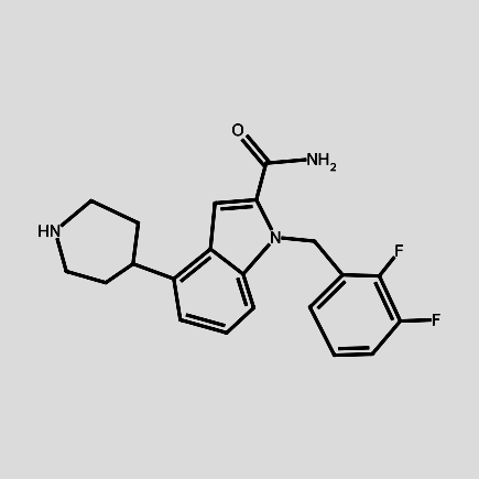 NC(=O)c1cc2c(C3CCNCC3)cccc2n1Cc1cccc(F)c1F